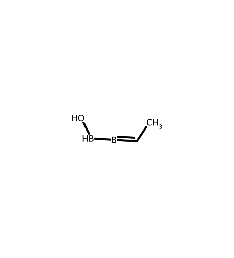 CC=BBO